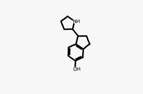 Oc1ccc2c(c1)CCC2C1CCCN1